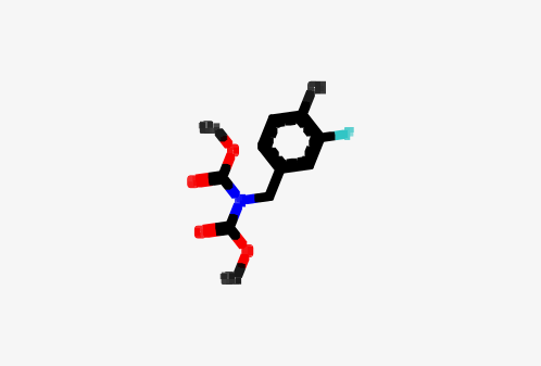 CC(C)(C)OC(=O)N(Cc1ccc(C#N)c(F)c1)C(=O)OC(C)(C)C